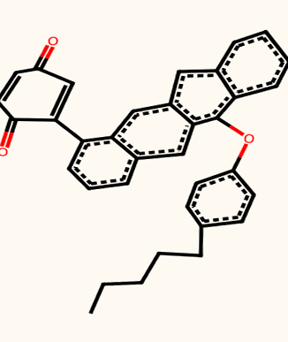 CCCCCc1ccc(Oc2c3ccccc3cc3cc4c(C5=CC(=O)C=CC5=O)cccc4cc23)cc1